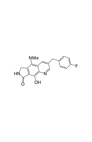 CNc1c2c(c(O)c3ncc(Cc4ccc(F)cc4)cc13)C(=O)NC2